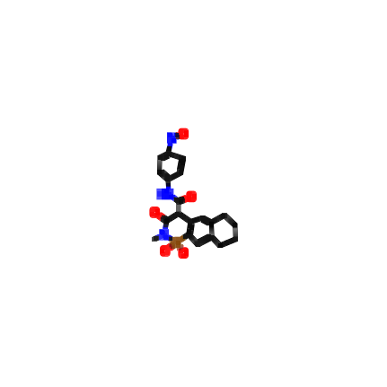 CN1C(=O)C(C(=O)Nc2ccc(N=O)cc2)c2cc3c(cc2S1(=O)=O)CCCC3